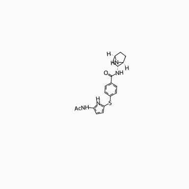 CC(=O)Nc1ccc(Sc2ccc(C(=O)N[C@@H]3C[C@H]4CC[C@@H]3N4)cc2)[nH]1